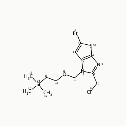 CCc1cc2c(nc(CCl)n2COCC[Si](C)(C)C)s1